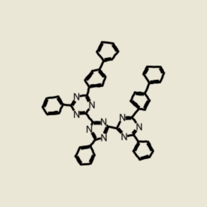 c1ccc(-c2ccc(-c3nc(-c4ccccc4)nc(-c4nc(-c5ccccc5)nc(-c5nc(-c6ccccc6)nc(-c6ccc(-c7ccccc7)cc6)n5)n4)n3)cc2)cc1